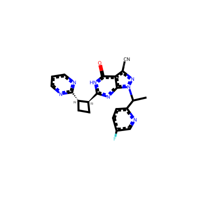 CC(c1ccc(F)cn1)n1nc(C#N)c2c(=O)[nH]c([C@H]3CC[C@@H]3c3ncccn3)nc21